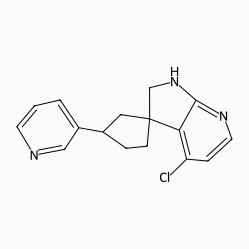 Clc1ccnc2c1C1(CCC(c3cccnc3)C1)CN2